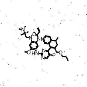 C=CC(=O)Nc1cc(Nc2ncc(F)c(C3=C(COCCC)CC(C)c4ccccc43)n2)c(OC)cc1N(C)CC(C)(C)N(C)C